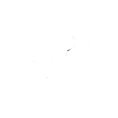 OC(O)c1ccc([C@@H]2CCCCN2)cc1